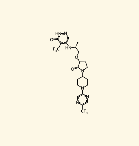 C[C@@H](CO[C@H]1CCN(C2CCN(c3cnc(C(F)(F)F)cn3)CC2)C1=O)Nc1cn[nH]c(=O)c1C(F)(F)F